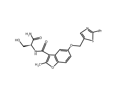 Cc1oc2ccc(OCc3cnc(C(C)C)s3)cc2c1C(=O)N[C@@H](CO)C(N)=O